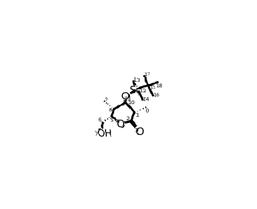 C[C@@H]1C(=O)O[C@H](CO)[C@H](C)C1O[Si](C)(C)C(C)(C)C